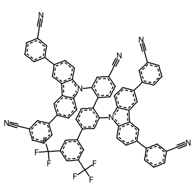 N#Cc1cccc(-c2ccc3c(c2)c2cc(-c4cccc(C#N)c4)ccc2n3-c2cc(C#N)ccc2-c2ccc(-c3cc(C(F)(F)F)cc(C(F)(F)F)c3)cc2-n2c3ccc(-c4cccc(C#N)c4)cc3c3cc(-c4cccc(C#N)c4)ccc32)c1